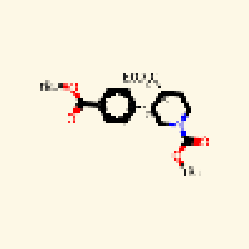 CCOC(=O)[C@@H]1CCN(C(=O)OC(C)(C)C)C[C@@H]1c1ccc(C(=O)OC(C)(C)C)cc1